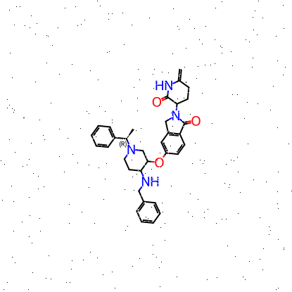 C=C1CCC(N2Cc3cc(OC4CN([C@H](C)c5ccccc5)CCC4NCc4ccccc4)ccc3C2=O)C(=O)N1